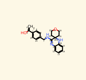 C=C(O)c1ccc(CNC2=Nc3ccccc3NC23CCOCC3)cc1